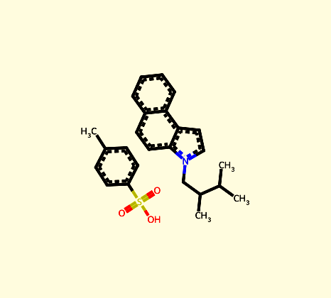 CC(C)C(C)Cn1ccc2c3ccccc3ccc21.Cc1ccc(S(=O)(=O)O)cc1